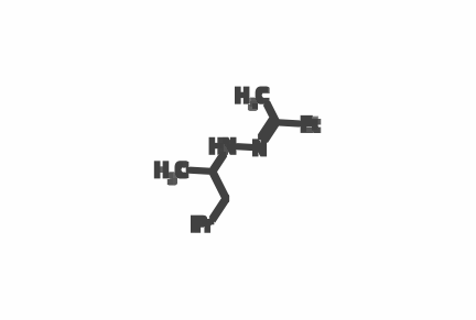 CCC(C)=NNC(C)CC(C)C